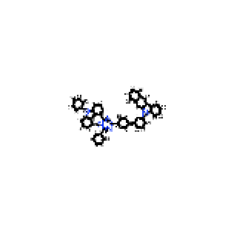 c1ccc(-c2nc(-c3ccc(-c4cccc(-n5c6ccccc6c6cc7ccccc7cc65)c4)cc3)nc(-c3cccc4c3c3ccccc3n4-c3ccccc3)n2)cc1